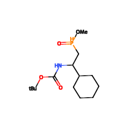 CO[PH](=O)CC(NC(=O)OC(C)(C)C)C1CCCCC1